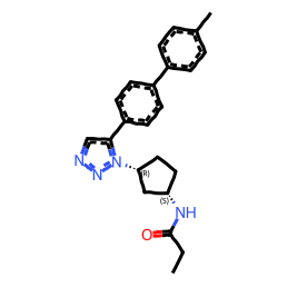 CCC(=O)N[C@H]1CC[C@@H](n2nncc2-c2ccc(-c3ccc(C)cc3)cc2)C1